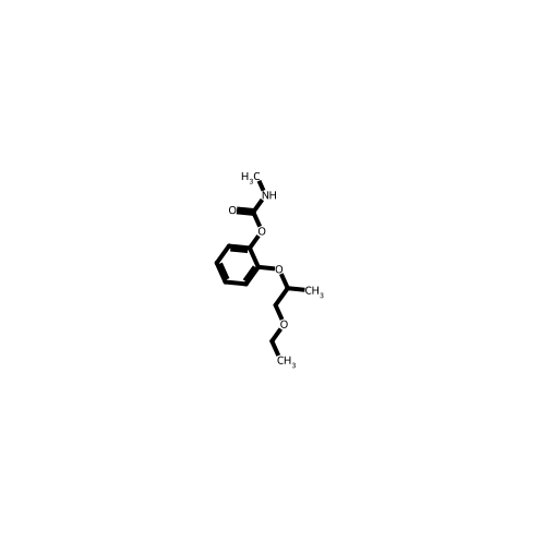 CCOCC(C)Oc1ccccc1OC(=O)NC